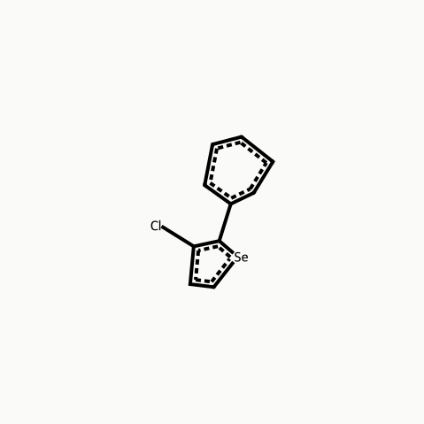 Clc1cc[se]c1-c1ccccc1